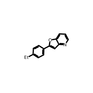 CCc1ccc(-c2cc3ncccc3o2)cc1